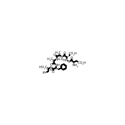 CC(C)C[C@H](NC(=O)[C@H](Cc1ccccc1)NC(=O)[C@H](C)NC(=O)[C@H](C)NC(=O)[C@H](CC(=O)O)NSC(=O)[C@@H](N)CC(=O)O)C(=O)O